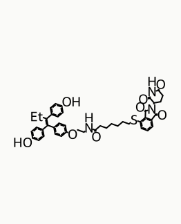 CCC(=C(c1ccc(O)cc1)c1ccc(OCCNC(=O)CCCCCCSc2cccc3c2C(=O)N(C2CCC(=O)NC2=O)C3=O)cc1)c1ccc(O)cc1